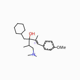 COc1ccc(/C=C(\C)C(O)(CC2CCCCC2)C(C)CN(C)C)cc1